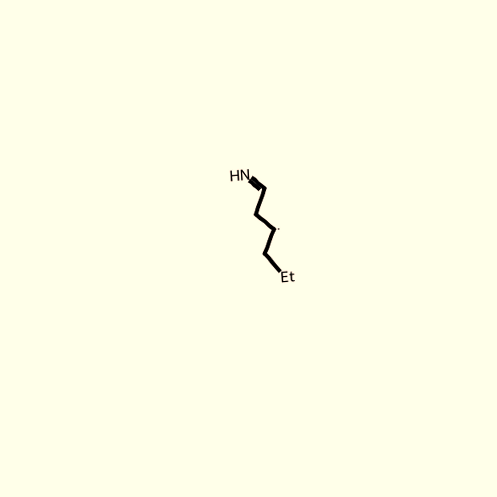 CCC[CH]CC=N